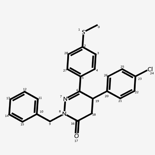 CSc1ccc(C2=NN(Cc3ccccc3)C(=O)CC2c2ccc(Cl)cc2)cc1